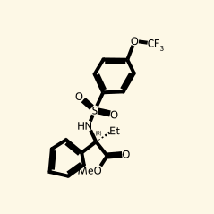 CC[C@](NS(=O)(=O)c1ccc(OC(F)(F)F)cc1)(C(=O)OC)c1ccccc1